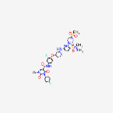 CC(C)n1cc(C(=O)Nc2ccc(Oc3ccnc(Nc4ccc(S(=O)(=O)N(C)C)c(N5CCN(S(C)(=O)=O)CC5)n4)c3)c(F)c2)c(=O)n(-c2ccc(F)cc2)c1=O